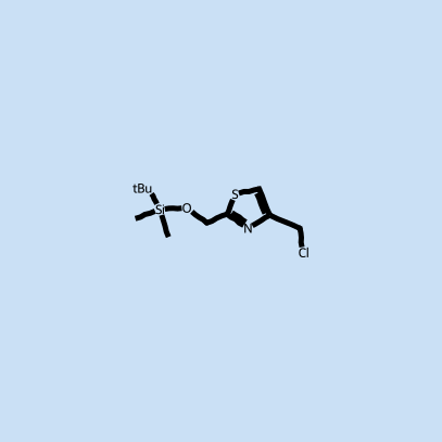 CC(C)(C)[Si](C)(C)OCc1nc(CCl)cs1